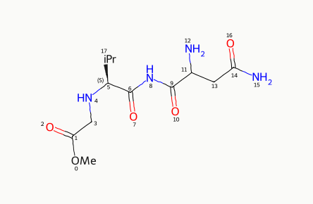 COC(=O)CN[C@H](C(=O)NC(=O)C(N)CC(N)=O)C(C)C